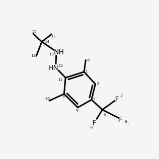 Cc1cc(C(F)(F)F)cc(C)c1NNC(C)(C)C